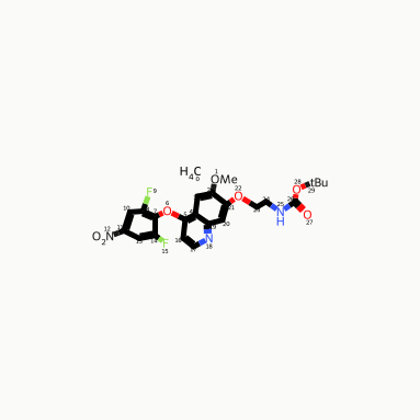 C.COc1cc2c(Oc3c(F)cc([N+](=O)[O-])cc3F)ccnc2cc1OCCNC(=O)OC(C)(C)C